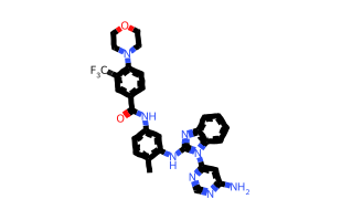 Cc1ccc(NC(=O)c2ccc(N3CCOCC3)c(C(F)(F)F)c2)cc1Nc1nc2ccccc2n1-c1cc(N)ncn1